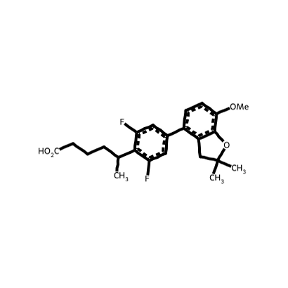 COc1ccc(-c2cc(F)c(C(C)CCCC(=O)O)c(F)c2)c2c1OC(C)(C)C2